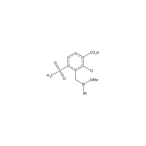 CON(Cc1c(S(C)(=O)=O)ccc(C(=O)O)c1Cl)C(C)C